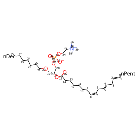 CCCCCC=CCC=CC/C=C\CCCCCCC(=O)O[C@H](COCCCCCCCCCCCCCCCC)COP(=O)([O-])OCC[N+](C)(C)C